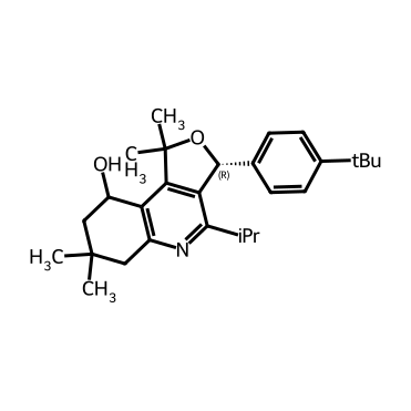 CC(C)c1nc2c(c3c1[C@@H](c1ccc(C(C)(C)C)cc1)OC3(C)C)C(O)CC(C)(C)C2